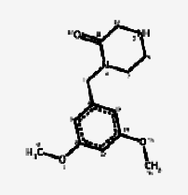 COc1cc(CN2CCNCC2=O)cc(OC)c1